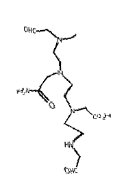 CN(CC=O)CCN(CCN(CCNCC=O)CC(=O)O)CC(N)=O